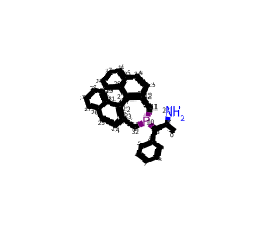 CC(N)C(c1ccccc1)P1Cc2ccc3ccccc3c2-c2c(ccc3ccccc23)C1